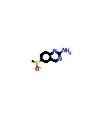 C[S+]([O-])c1ccc2nc(N)ncc2c1